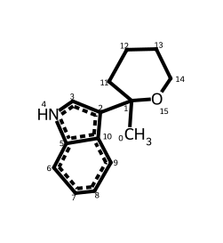 CC1(c2c[nH]c3ccccc23)CCCCO1